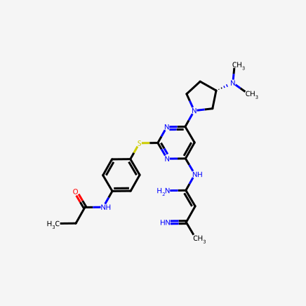 CCC(=O)Nc1ccc(Sc2nc(N/C(N)=C/C(C)=N)cc(N3CC[C@H](N(C)C)C3)n2)cc1